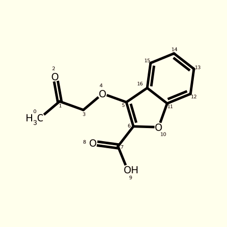 CC(=O)COc1c(C(=O)O)oc2ccccc12